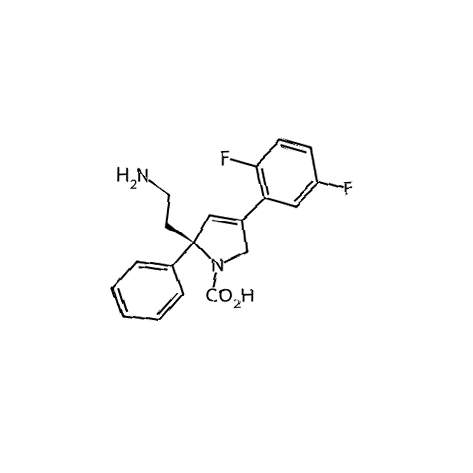 NCC[C@@]1(c2ccccc2)C=C(c2cc(F)ccc2F)CN1C(=O)O